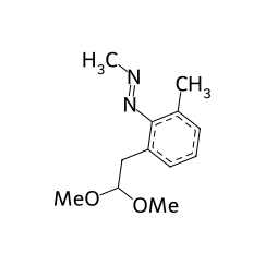 C/N=N/c1c(C)cccc1CC(OC)OC